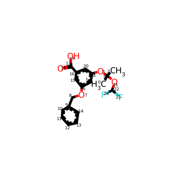 CC(C)(Oc1cc(OCc2ccccc2)cc(C(=O)O)c1)OC(F)F